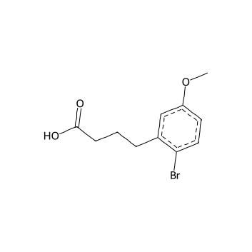 COc1ccc(Br)c(CCCC(=O)O)c1